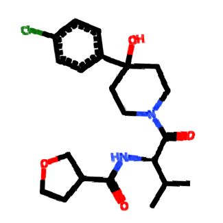 CC(C)[C@@H](NC(=O)C1CCOC1)C(=O)N1CCC(O)(c2ccc(Cl)cc2)CC1